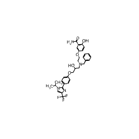 CC(C)n1cc(C(F)(F)F)nc1-c1ccc(OCC(O)CN(CCOc2ccc(O)c(C(N)=O)c2)Cc2ccccc2)cc1